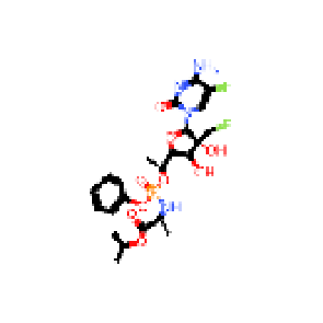 CC(C)OC(=O)[C@H](C)N[P@](=O)(Oc1ccccc1)O[C@@H](C)[C@H]1O[C@@H](n2cc(F)c(N)nc2=O)[C@@](O)(CF)C1O